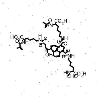 C=C(C)C(=O)NC(CCCCNS(=O)(=O)C/C=C(/O)c1ccc2c(S(=O)(=O)NCCCCC(NC(=O)C(=C)C)C(=O)O)cc(S(=O)(=O)NCCCCC(NC=O)C(=O)O)c3c2c1CC=C3)C(=O)O